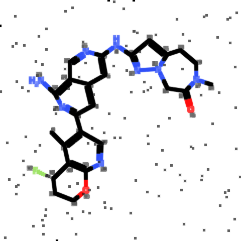 Cc1c(-c2cc3cc(Nc4cc5n(n4)CC(=O)N(C)CC5)ncc3c(N)n2)cnc2c1[C@@H](F)CCO2